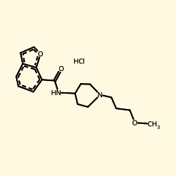 COCCCN1CCC(NC(=O)c2cccc3ccoc23)CC1.Cl